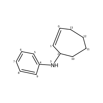 C1=CC(Nc2ccccc2)CCCC1